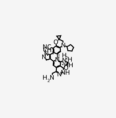 [2H]C([2H])([2H])Nc1nc(-c2cnn(C)c2-c2c(F)cc3c(c2C#N)OC2(CC2)CN3C2CCCC2)cc2c(CN)n[nH]c(=O)c12